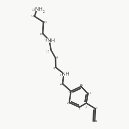 C=Cc1ccc(CNCCCNCCCN)cc1